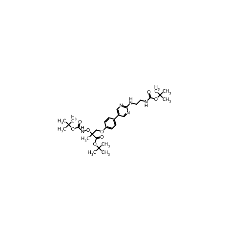 CC(C)(C)OC(=O)NCCNc1ncc(-c2ccc(OCC(C)(ONC(=O)OC(C)(C)C)C(=O)OC(C)(C)C)cc2)cn1